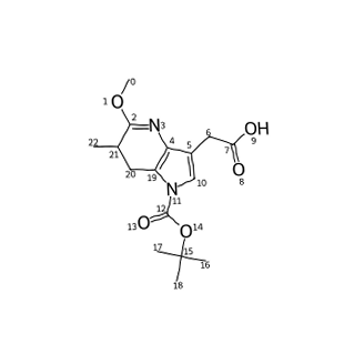 COC1=Nc2c(CC(=O)O)cn(C(=O)OC(C)(C)C)c2CC1C